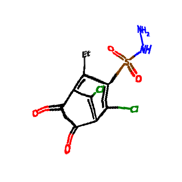 CCc1c2c(Cl)c(c(Cl)c1S(=O)(=O)NN)C(=O)C2=O